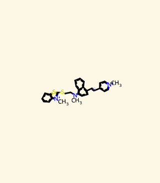 CN(CCSc1sc2ccccc2[n+]1C)c1ccc(/C=C/c2cc[n+](C)cc2)c2ccccc12